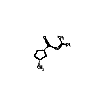 CC(C)=NC(=O)[C@H]1CC[C@@H](C)C1